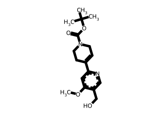 COc1cc(C2=CCN(C(=O)OC(C)(C)C)CC2)ncc1CO